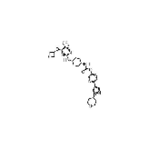 O=C(N[C@H]1CC[C@H](Nc2ncc(C(F)(F)F)c(OC3COC3)n2)CC1)Oc1cnc(-c2cnn(C3CCOCC3)c2)cn1